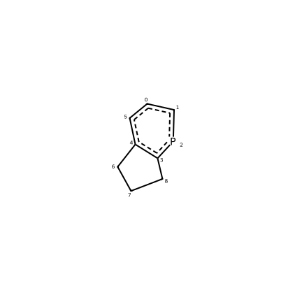 c1cpc2c(c1)CCC2